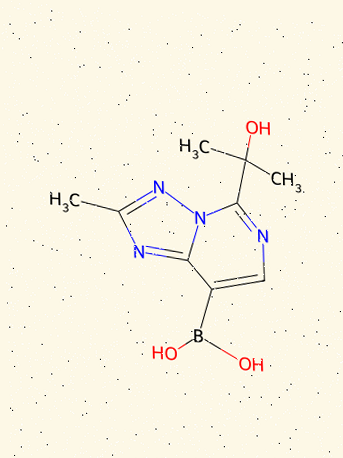 Cc1nc2c(B(O)O)cnc(C(C)(C)O)n2n1